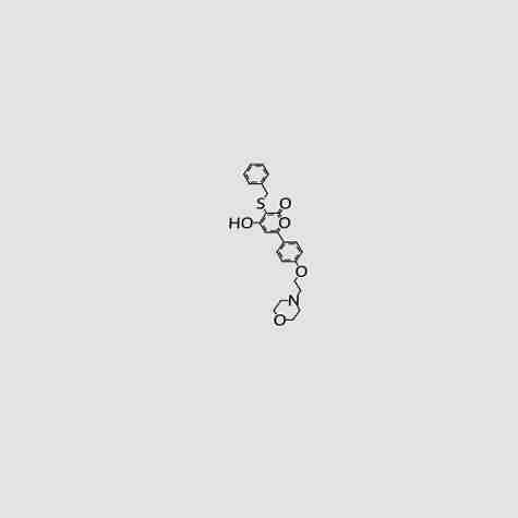 O=c1oc(-c2ccc(OCCN3CCOCC3)cc2)cc(O)c1SCc1ccccc1